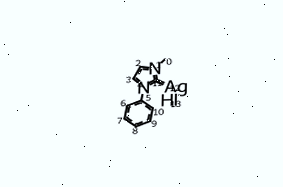 Cn1ccn(-c2ccccc2)[c]1=[Ag].I